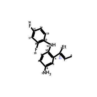 C/C=C(\CC)c1cc(N)ccc1Nc1ccc(F)cc1F